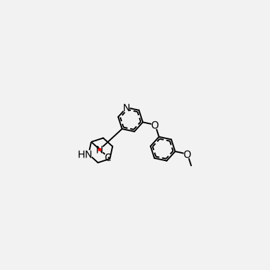 COc1cccc(Oc2cncc(N3CC4CCC(C3)NC4)c2)c1